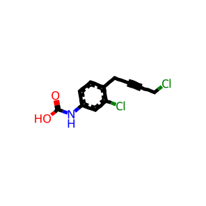 O=C(O)Nc1ccc(CC#CCCl)c(Cl)c1